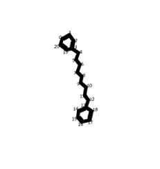 c1ccc(CCCCCCCCCc2ccccc2)cc1